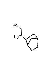 OCC(O)C1CC2CCC1C2